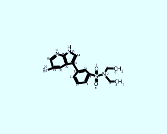 CCN(CC)S(=O)(=O)c1cccc(-c2c[nH]c3ncc(Br)cc23)c1